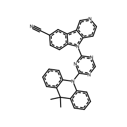 CC1(C)c2ccccc2N(c2ncnc(-n3c4ccncc4c4cc(C#N)ccc43)n2)c2ccccc21